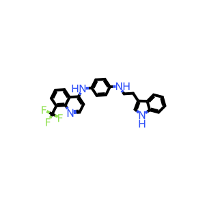 FC(F)(F)c1cccc2c(Nc3ccc(NCCc4c[nH]c5ccccc45)cc3)ccnc12